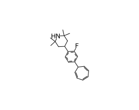 CC1(C)CC(c2ccc(C3C=CC=CC=C3)cc2F)CC(C)(C)N1